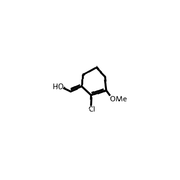 COC1=C(Cl)C(=CO)CCC1